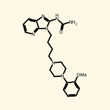 COc1ccccc1N1CCN(CCCCn2c(NC(N)=O)nc3cccnc32)CC1